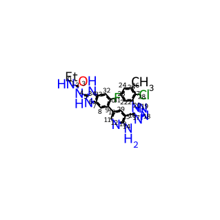 CCNC(=O)Nc1nc2cc(-c3cnc(N)c(-c4nnnn4-c4cccc(C)c4Cl)c3)c(F)cc2[nH]1